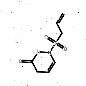 C=CCS(=O)(=O)N1C=CCC(=O)N1